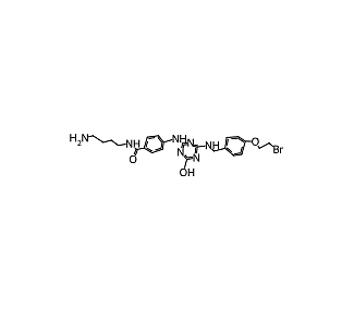 NCCCCNC(=O)c1ccc(Nc2nc(O)nc(NCc3ccc(OCCBr)cc3)n2)cc1